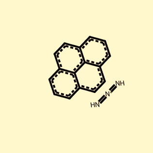 N=[N+]=N.c1cc2ccc3cccc4ccc(c1)c2c34